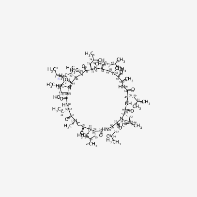 C/C=C/C[C@@H](C)[C@@H](O)[C@H]1C(=O)N[C@@H](CC)C(=O)N(C)CC(=O)N(C)[C@@H](CC(C)C)C(=O)N[C@@H](CC(C)C)C(=O)N(C)[C@@H](CC(C)C)C(=O)N[C@@H](CC(C)C)C(=O)N[C@H](C)C(=O)N(C)[C@@H](CC(C)C)C(=O)N(C)[C@H](CC(C)C)C(=O)N(C)[C@@H](C(C)C)C(=O)N1C